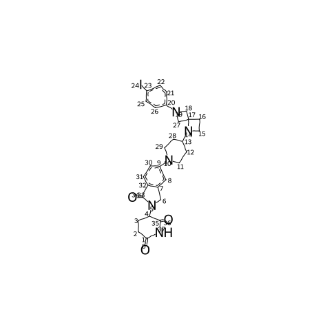 O=C1CCC(N2Cc3cc(N4CCC(N5CCC56CN(c5ccc(I)cc5)C6)CC4)ccc3C2=O)C(=O)N1